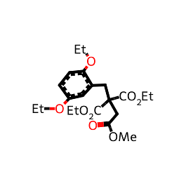 CCOC(=O)C(CC(=O)OC)(Cc1cc(OCC)ccc1OCC)C(=O)OCC